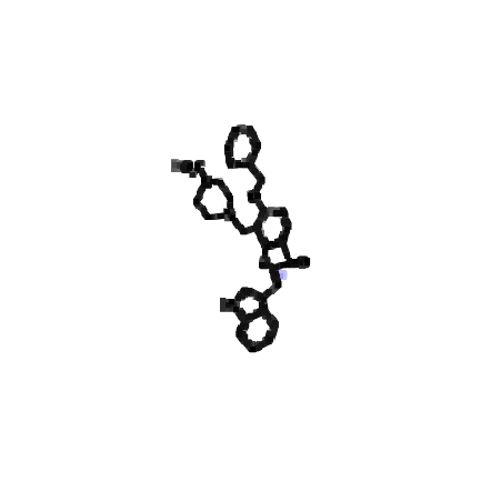 O=C1/C(=C/c2c[nH]c3ccccc23)Oc2c1ccc(OCc1ccccc1)c2CN1CCN(C(=O)O)CC1